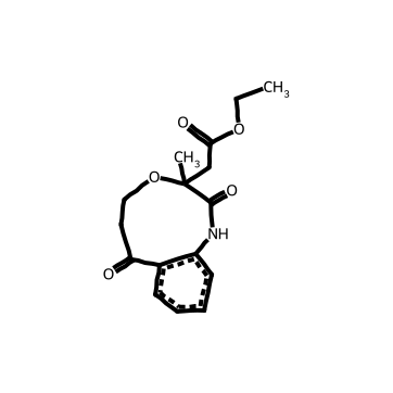 CCOC(=O)CC1(C)OCCC(=O)c2ccccc2NC1=O